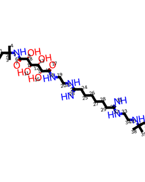 CCC(C)(C)NC(=O)[C@@H](O)[C@H](O)[C@H](O)[C@@H](O)C(=O)NCCNC(=N)CCCCCCC(=N)NCCNC(C)(C)C